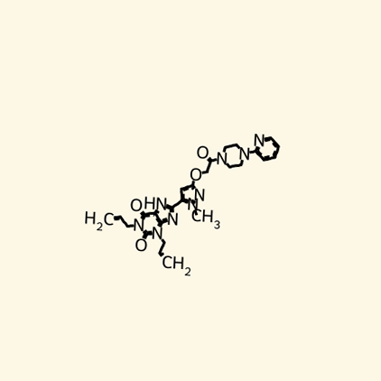 C=CCn1c(=O)c2[nH]c(-c3cc(OCC(=O)N4CCN(c5ccccn5)CC4)nn3C)nc2n(CC=C)c1=O